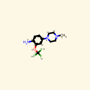 CN1CCN(c2ccc(N)c(OC(F)(F)F)c2)CC1